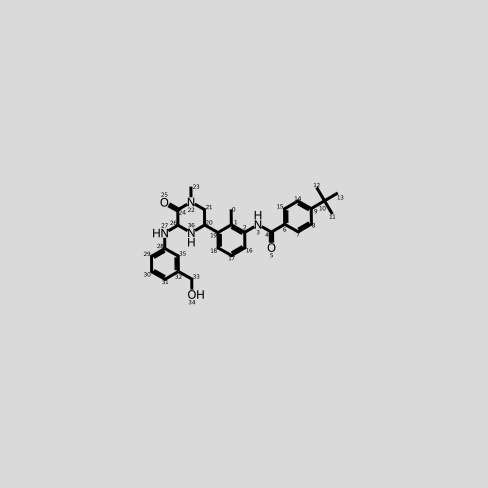 Cc1c(NC(=O)c2ccc(C(C)(C)C)cc2)cccc1C1CN(C)C(=O)C(Nc2cccc(CO)c2)N1